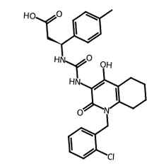 Cc1ccc([C@H](CC(=O)O)NC(=O)Nc2c(O)c3c(n(Cc4ccccc4Cl)c2=O)CCCC3)cc1